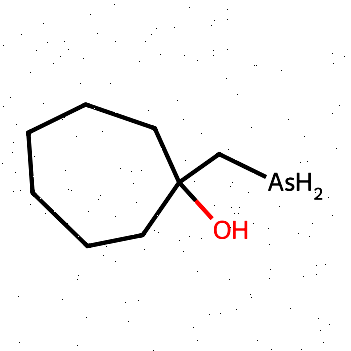 OC1(C[AsH2])CCCCCC1